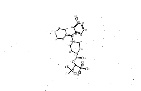 O=C(OC(C(Cl)(Cl)Cl)C(Cl)(Cl)Cl)N1CCN(C(c2cccc(Cl)c2)N2CCOCC2)CC1